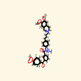 COc1ccc(C(=O)c2cccc(C(=O)Nc3ccc(CCCCN4CCc5cc(OC)c(OC)cc5C4)cc3)c2)cc1